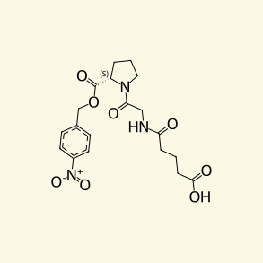 O=C(O)CCCC(=O)NCC(=O)N1CCC[C@H]1C(=O)OCc1ccc([N+](=O)[O-])cc1